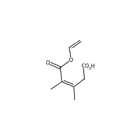 C=COC(=O)C(C)=C(C)CC(=O)O